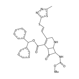 Cc1nnc(SC=CC2=C(C(=O)OC(c3ccccc3)c3ccccc3)C3C(=O)C(NC(=O)OC(C)(C)C)C3NC2)s1